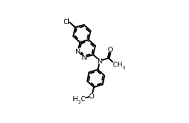 COc1ccc(N(C(C)=O)c2cc3ccc(Cl)cc3nn2)cc1